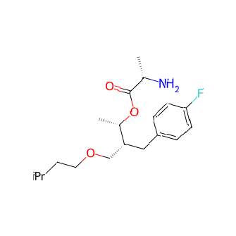 CC(C)CCOC[C@@H](Cc1ccc(F)cc1)[C@H](C)OC(=O)[C@H](C)N